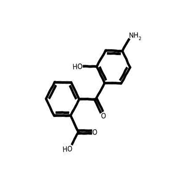 Nc1ccc(C(=O)c2ccccc2C(=O)O)c(O)c1